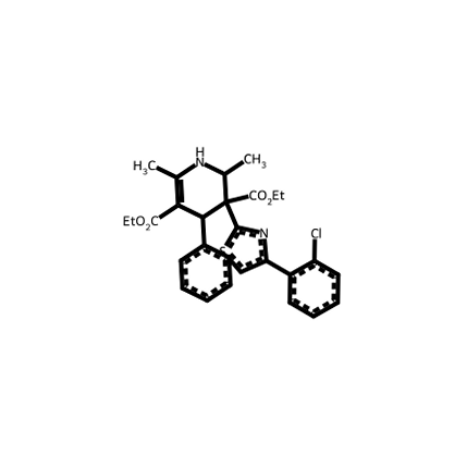 CCOC(=O)C1=C(C)NC(C)C(C(=O)OCC)(c2nc(-c3ccccc3Cl)cs2)C1c1ccccc1